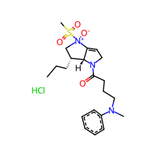 CCC[C@@H]1C[N+]([O-])(S(C)(=O)=O)C2=CCN(C(=O)CCCN(C)c3ccccc3)[C@@H]21.Cl